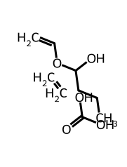 C=C.C=COC(O)CCC.O=C(O)O